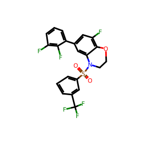 O=S(=O)(c1cccc(C(F)(F)F)c1)N1CCOc2c(F)cc(-c3cccc(F)c3F)cc21